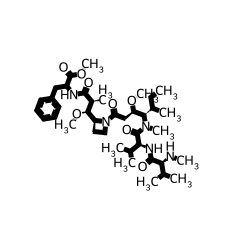 CCC(C)[C@@H]([C@@H](CC(=O)N1CC[C@H]1[C@H](OC)[C@@H](C)C(=O)NC(Cc1ccccc1)C(=O)OC)OC)N(C)C(=O)[C@@H](NC(=O)[C@@H](NC)C(C)C)C(C)C